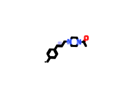 [CH2]c1ccc(/C=C/CN2CCN(C(C)=O)CC2)cc1